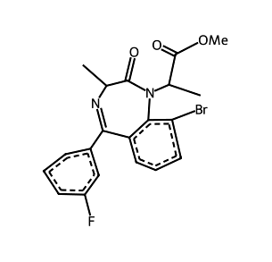 COC(=O)C(C)N1C(=O)C(C)N=C(c2cccc(F)c2)c2cccc(Br)c21